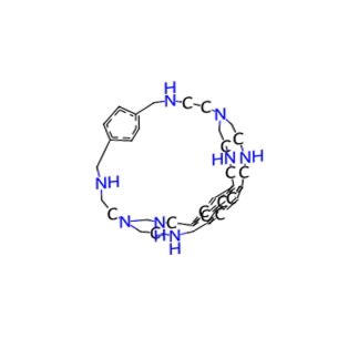 c1cc2ccc1CNCCN1CCNCc3ccc(cc3)CNCCN(CCNC2)CNCc2ccc(cc2)CNCC1